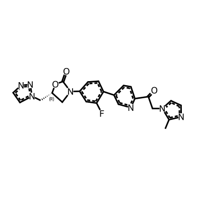 Cc1nccn1CC(=O)c1ccc(-c2ccc(N3C[C@H](Cn4ccnn4)OC3=O)cc2F)cn1